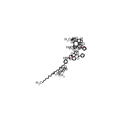 CCCCCCCCCCCCCCCCCC(OP(=O)(O)OCC[N+](C)(C)C)c1ccc(NC(=O)CC(=O)O[C@@H](C(=O)O[C@H]2C[C@@]3(O)[C@@H](OC(=O)c4ccccc4)[C@@H]4[C@]5(OC(C)=O)CC[C@@H]5C[C@H](O)[C@@]4(C)C(=O)[C@H](OC(C)=O)C(=C2C)C3(C)C)[C@@H](NC(=O)c2ccccc2)c2ccccc2)cc1